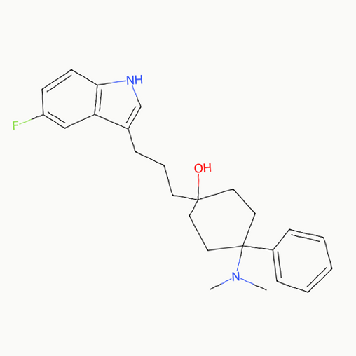 CN(C)C1(c2ccccc2)CCC(O)(CCCc2c[nH]c3ccc(F)cc23)CC1